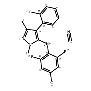 C#N.Cc1nn(C)c(Nc2c(F)cc(Cl)cc2F)c1-c1ccccc1F